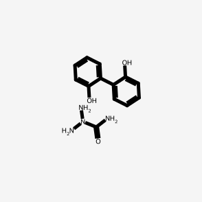 NC(=O)N(N)N.Oc1ccccc1-c1ccccc1O